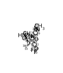 CNS(=O)(=O)c1cn(CC2CC2)c2c(-c3ccc(OC(F)F)cc3)c(=O)n(-c3ccc4nn(C)cc4c3)nc12